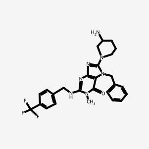 Cn1c(NCc2ccc(C(F)(F)F)cc2)nc2nc(N3CCCC(N)C3)n(Cc3ccccc3)c2c1=O